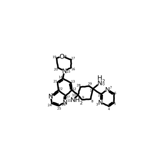 NC1(c2ncccn2)CCC(N)(c2cc(N3CCOCC3)cc3nccnc23)CC1